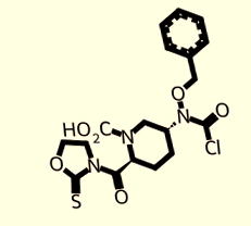 O=C([C@@H]1CC[C@@H](N(OCc2ccccc2)C(=O)Cl)CN1C(=O)O)N1CCOC1=S